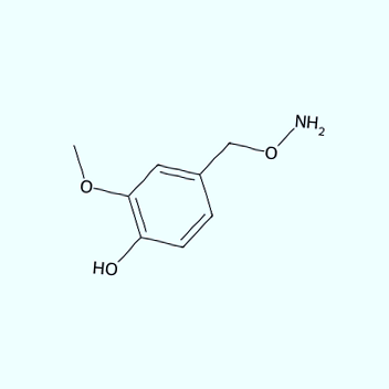 COc1cc(CON)ccc1O